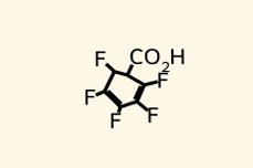 O=C(O)C1C(F)=C(F)C(F)=C(F)C1F